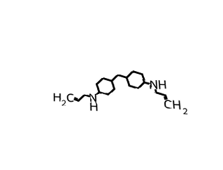 C=CCNC1CCC(CC2CCC(NCC=C)CC2)CC1